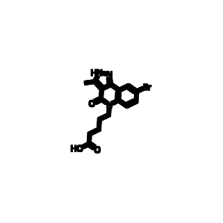 Cc1[nH]nc2c1c(=O)n(CCCCC(=O)O)c1ccc(Br)cc21